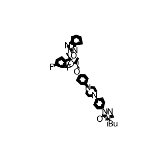 CCC(C)n1cnn(-c2ccc(N3CCN(c4ccc(OC[C@@H]5CO[C@@](Cn6nc7ccccc7n6)(c6ccc(F)cc6F)O5)cc4)CC3)cc2)c1=O